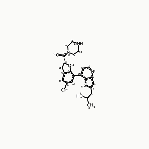 CC(O)Cc1cc2nccc(-c3cc(Cl)cc4c3O[C@@H](C(=O)N3CCNCC3)C4)c2s1